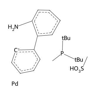 CP(C(C)(C)C)C(C)(C)C.CS(=O)(=O)O.Nc1ccccc1-c1[c-]cccc1.[Pd]